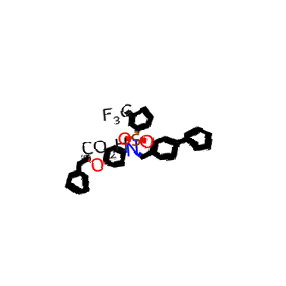 O=C(O)[C@H](Cc1ccccc1)Oc1ccc(N(Cc2ccc(-c3ccccc3)cc2)S(=O)(=O)c2cccc(C(F)(F)F)c2)cc1